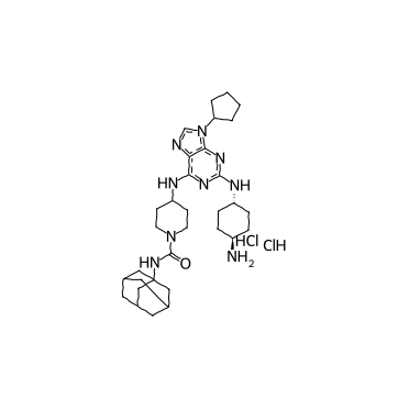 Cl.Cl.N[C@H]1CC[C@H](Nc2nc(NC3CCN(C(=O)NC45CC6CC(CC(C6)C4)C5)CC3)c3ncn(C4CCCC4)c3n2)CC1